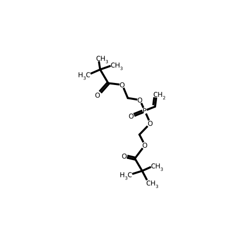 C=CP(=O)(OCOC(=O)C(C)(C)C)OCOC(=O)C(C)(C)C